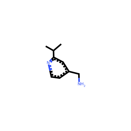 CC(C)c1cc(CN)ccn1